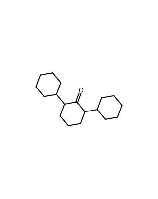 O=C1C(C2CCCCC2)CCCC1C1CCCCC1